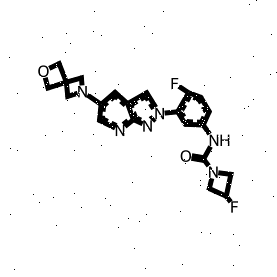 O=C(Nc1ccc(F)c(-n2cc3cc(N4CC5(COC5)C4)cnc3n2)c1)N1CC(F)C1